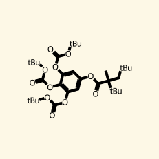 CC(C)(C)CC(C)(C(=O)Oc1cc(OC(=O)OC(C)(C)C)c(OC(=O)OC(C)(C)C)c(OC(=O)OC(C)(C)C)c1)C(C)(C)C